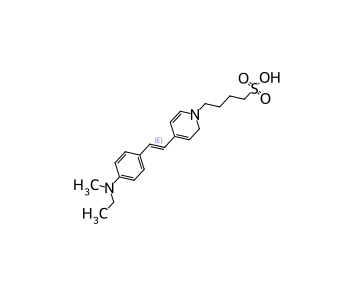 CCN(C)c1ccc(/C=C/C2=CCN(CCCCS(=O)(=O)O)C=C2)cc1